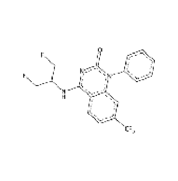 O=c1nc(NC(CF)CF)c2ccc(C(F)(F)F)cc2n1-c1ccccc1